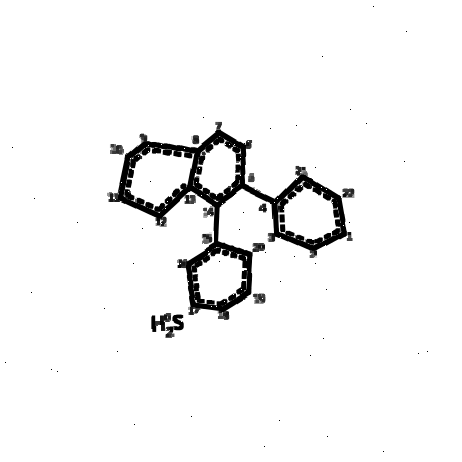 S.c1ccc(-c2ccc3ccccc3c2-c2ccccc2)cc1